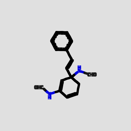 O=CNC1=CC(C=Cc2ccccc2)(NC=O)CC=C1